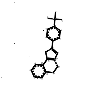 CC(C)(C)c1ccc(C2=CC3=C(C2)c2ccccc2CC3)cc1